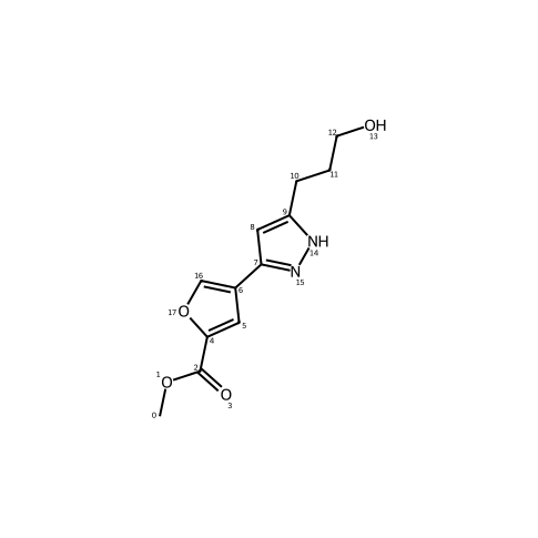 COC(=O)c1cc(-c2cc(CCCO)[nH]n2)co1